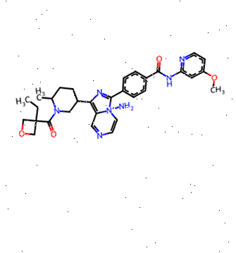 CCC1(C(=O)N2CC(C3=C4C=NC=C[N+]4(N)C(c4ccc(C(=O)Nc5cc(OC)ccn5)cc4)=N3)CCC2C)COC1